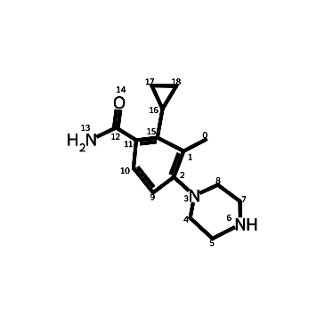 Cc1c(N2CCNCC2)ccc(C(N)=O)c1C1CC1